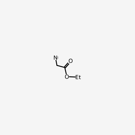 CCOC(=O)C[N]